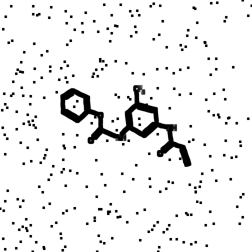 C=CC(=O)Nc1cc(NC(=O)Oc2ccccc2)cc(C(F)(F)F)c1